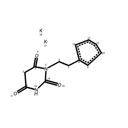 O=C1CC(=O)N(CCc2ccccc2)C(=O)N1.[K].[K]